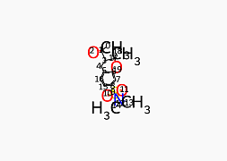 CC(=O)C(Cc1ccc(S(=O)(=O)N(C)C)cc1)C(C)=O